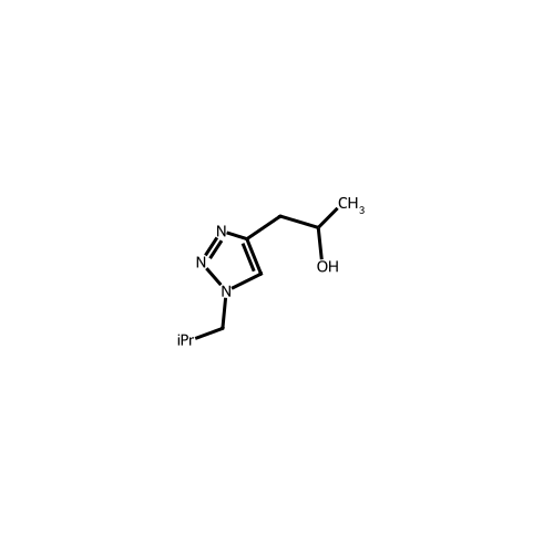 CC(C)Cn1cc(CC(C)O)nn1